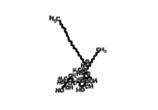 CCCCCCCCCCCCCCCCCCCCCCCC(=O)NC(CCCCCCCCCC)CO[C@@H]1OC(CO)[C@@H](O[C@@H]2OC(CO[C@@H]3C[C@@H](O)[C@@H](C)C([C@H](O)[C@H](O)CO)O3)C[C@H](O)C2O)[C@H](O)C1NC(C)=O